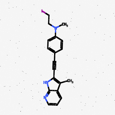 Cc1c(C#Cc2ccc(N(C)CCI)cc2)[nH]c2ncccc12